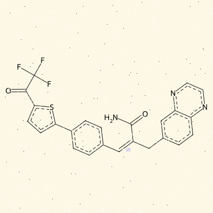 NC(=O)/C(=C\c1ccc(-c2ccc(C(=O)C(F)(F)F)s2)cc1)Cc1ccc2nccnc2c1